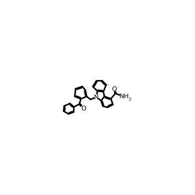 NC(=O)c1cccc2c1c1[c]cccc1n2Cc1ccccc1C(=O)c1ccccc1